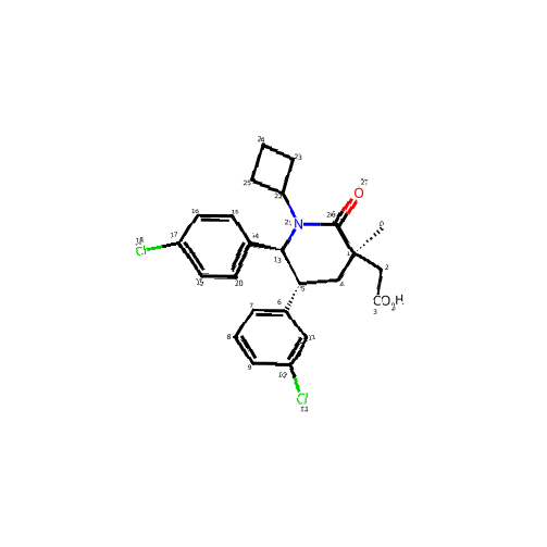 C[C@]1(CC(=O)O)C[C@H](c2cccc(Cl)c2)[C@@H](c2ccc(Cl)cc2)N(C2CCC2)C1=O